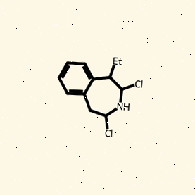 CCC1c2ccccc2CC(Cl)NC1Cl